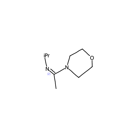 C/C(=N/C(C)C)N1CCOCC1